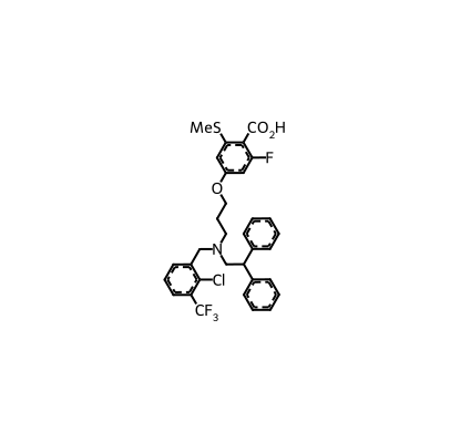 CSc1cc(OCCCN(Cc2cccc(C(F)(F)F)c2Cl)CC(c2ccccc2)c2ccccc2)cc(F)c1C(=O)O